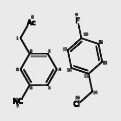 CC(=O)Cc1cccc(C#N)c1.Fc1ccc(CCl)cc1